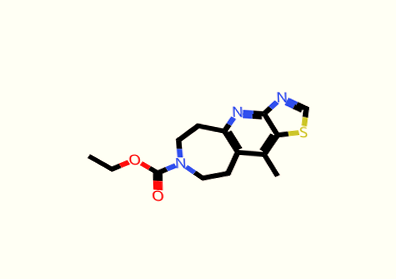 CCOC(=O)N1CCc2nc3ncsc3c(C)c2CC1